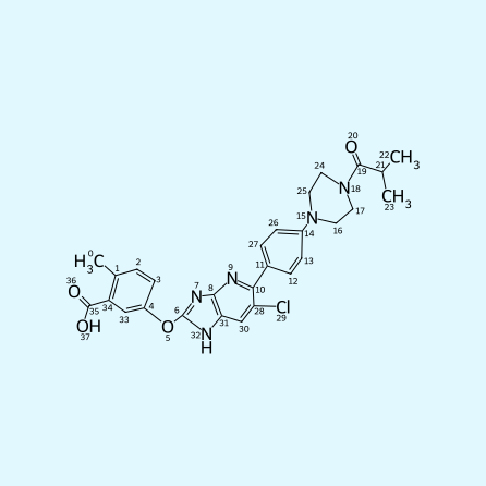 Cc1ccc(Oc2nc3nc(-c4ccc(N5CCN(C(=O)C(C)C)CC5)cc4)c(Cl)cc3[nH]2)cc1C(=O)O